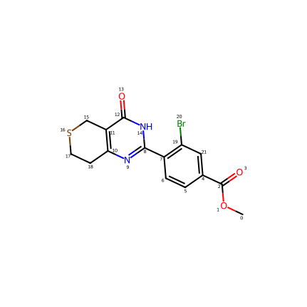 COC(=O)c1ccc(-c2nc3c(c(=O)[nH]2)CSCC3)c(Br)c1